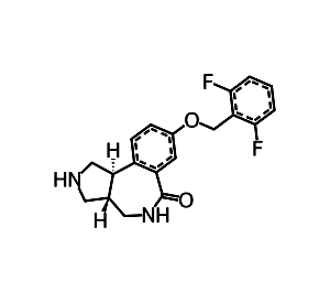 O=C1NC[C@@H]2CNC[C@H]2c2ccc(OCc3c(F)cccc3F)cc21